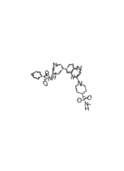 CNS(=O)(=O)C1CCN(c2cnc3ccc(-c4cncc(NS(=O)(=O)c5ccccc5)c4)cc3n2)CC1